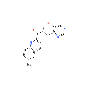 CSc1ccc2nc(C(O)C(C)Cc3ncncc3Br)ccc2c1